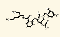 CCCCC(CC)CNC(=O)c1ccccc1CN1CC(CC(=O)O)CN(Cc2ccc(Cl)cc2Cl)C1=O